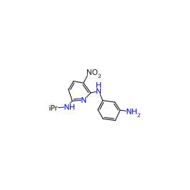 CC(C)Nc1ccc([N+](=O)[O-])c(Nc2cccc(N)c2)n1